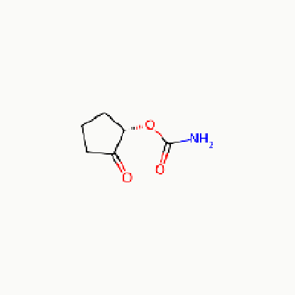 NC(=O)O[C@H]1CCCC1=O